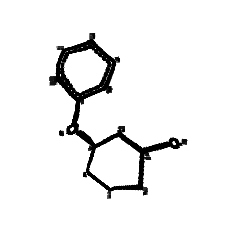 [O]C1CCCC(Oc2[c]cccc2)C1